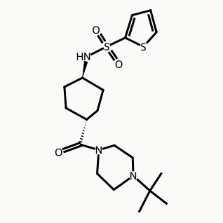 CC(C)(C)N1CCN(C(=O)[C@H]2CC[C@H](NS(=O)(=O)c3cccs3)CC2)CC1